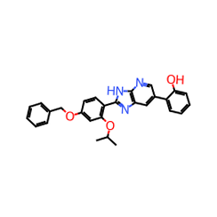 CC(C)Oc1cc(OCc2ccccc2)ccc1-c1nc2cc(-c3ccccc3O)cnc2[nH]1